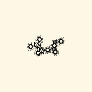 c1ccc(-c2nc(-c3ccccc3)nc(-c3nc(-c4ccc(-n5c6ccccc6c6cc7c(ccn7-c7ccccc7)cc65)cc4)nc4ccccc34)n2)cc1